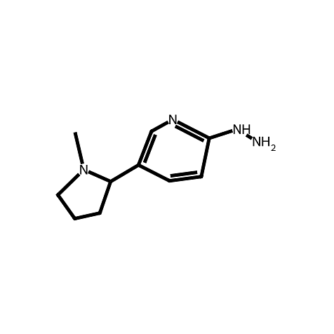 CN1CCCC1c1ccc(NN)nc1